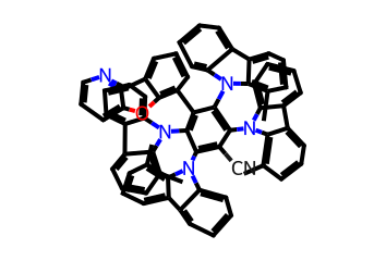 Cc1cccc2c3ccccc3n(-c3c(C#N)c(-n4c5ccccc5c5cccc(C)c54)c(-n4c5ccccc5c5cccc(C)c54)c(-c4cccc5c4oc4cccnc45)c3-n3c4ccccc4c4cccc(C)c43)c12